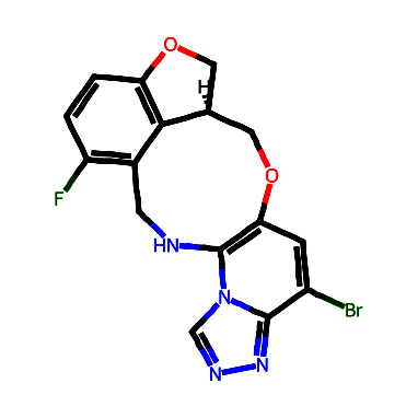 Fc1ccc2c3c1CNc1c(cc(Br)c4nncn14)OC[C@@H]3CO2